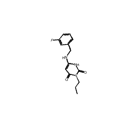 CCCn1c(=O)cc(NCc2cccc(F)c2)[nH]c1=O